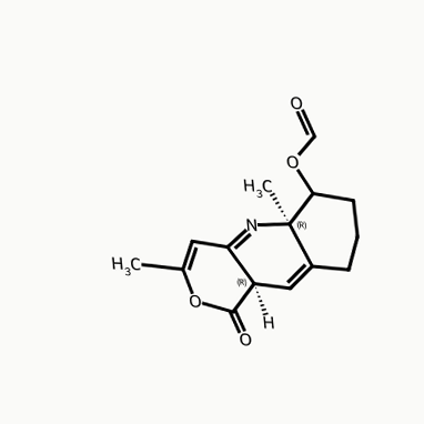 CC1=CC2=N[C@]3(C)C(=C[C@H]2C(=O)O1)CCCC3OC=O